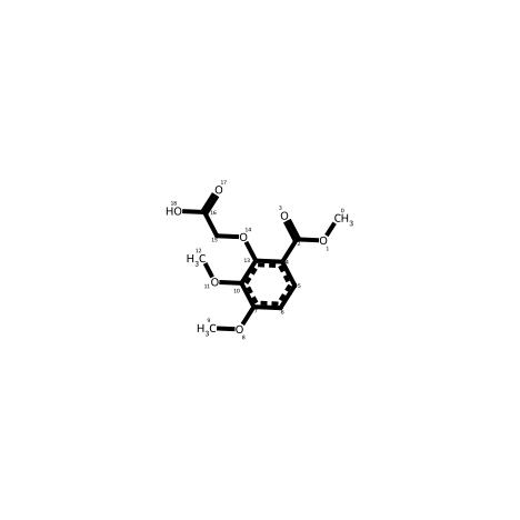 COC(=O)c1ccc(OC)c(OC)c1OCC(=O)O